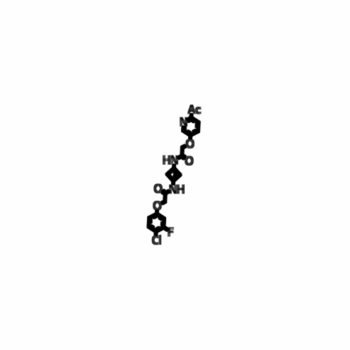 CC(=O)c1ccc(OCC(=O)NC23CC(NC(=O)COc4ccc(Cl)c(F)c4)(C2)C3)cn1